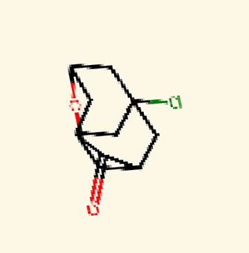 O=C1COC2CC3CC1CC(Cl)(C3)C2